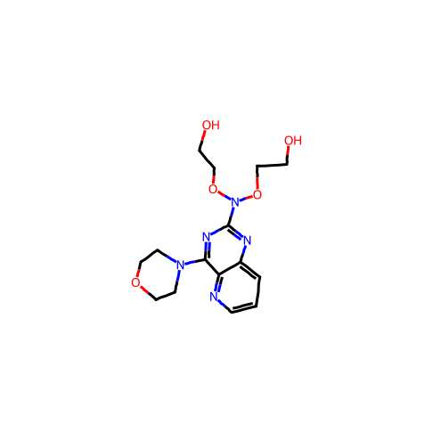 OCCON(OCCO)c1nc(N2CCOCC2)c2ncccc2n1